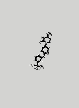 C=C1CCN(c2cnc(Oc3cccc([Si](C)(C)C)c3)nc2)C(=O)N1